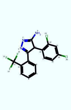 NC1=NN=C(c2ccccc2C(F)(F)F)C1c1ccc(Cl)cc1Cl